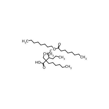 CCCCCCC(CC)(C(=O)O)C(CC)CCC.CCCCCCCCOC(=O)CCCCCCC